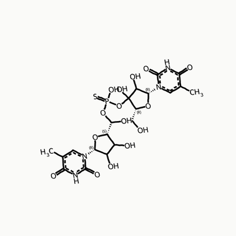 Cc1cn([C@@H]2O[C@H](C(O)OP(O)(=S)OC3(O)C(O)[C@H](n4cc(C)c(=O)[nH]c4=O)O[C@@H]3CO)C(O)C2O)c(=O)[nH]c1=O